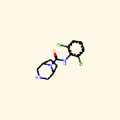 O=C(Nc1c(Cl)cccc1Cl)N1C2CCC1CNC2